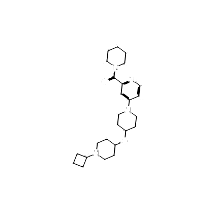 O=C(c1cc(N2CCC(OC3CCN(C4CCC4)CC3)CC2)ccn1)N1CCCCC1